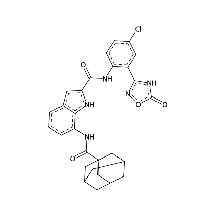 O=C(Nc1ccc(Cl)cc1-c1noc(=O)[nH]1)c1cc2cccc(NC(=O)C34CC5CC(CC(C5)C3)C4)c2[nH]1